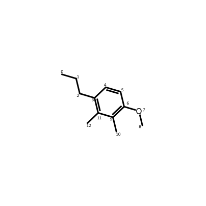 CCCc1ccc(OC)c(C)c1C